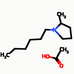 CC(=O)O.CCCCCCN1CCCC1C